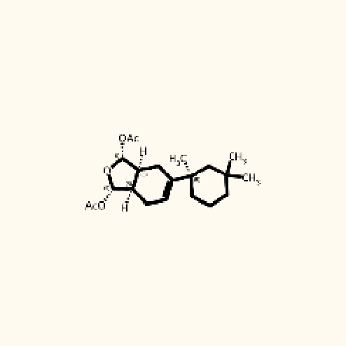 CC(=O)O[C@H]1O[C@@H](OC(C)=O)[C@@H]2CC=C([C@]3(C)CCCC(C)(C)C3)C[C@H]12